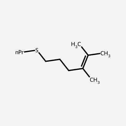 [CH2]CCSCCCC(C)=C(C)C